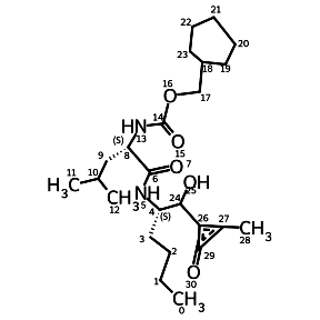 CCCC[C@H](NC(=O)[C@H](CC(C)C)NC(=O)OCC1CCCCC1)C(O)c1c(C)c1=O